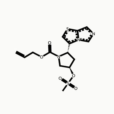 C=CCOC(=O)N1C[C@H](OS(C)(=O)=O)C[C@H]1c1csc2cncn12